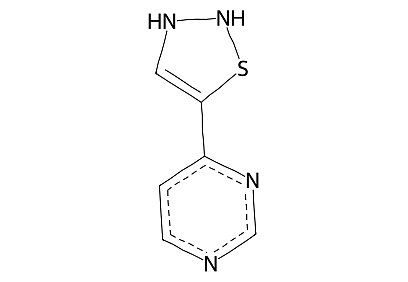 C1=C(c2ccncn2)SNN1